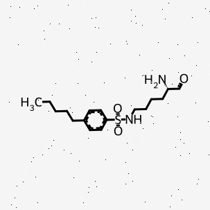 CCCCCc1ccc(S(=O)(=O)NCCCC[C@H](N)C=O)cc1